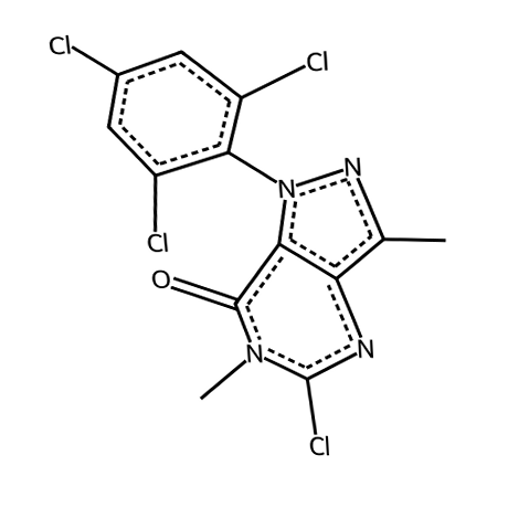 Cc1nn(-c2c(Cl)cc(Cl)cc2Cl)c2c(=O)n(C)c(Cl)nc12